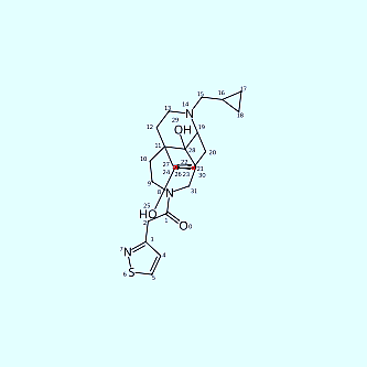 O=C(Cc1ccsn1)N1CCC23CCN(CC4CC4)C(Cc4ccc(O)cc42)C3(O)CC1